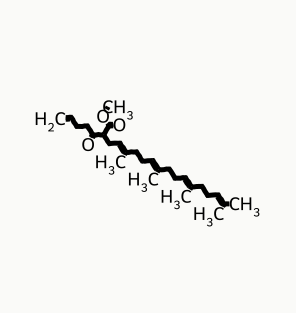 C=CCCC(=O)C(C/C=C(\C)CC/C=C(\C)CC/C=C(\C)CCC=C(C)C)C(=O)OC